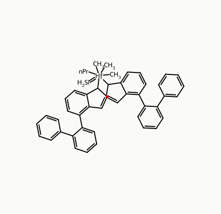 CC[CH2][Hf]([CH3])([CH3])([CH3])(=[SiH2])([CH]1C=Cc2c(-c3ccccc3-c3ccccc3)cccc21)[CH]1C=Cc2c(-c3ccccc3-c3ccccc3)cccc21